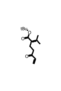 C=CC(=O)CCC(C(=O)OC(C)(C)C)=C(C)C